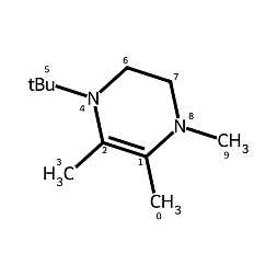 CC1=C(C)N(C(C)(C)C)CCN1C